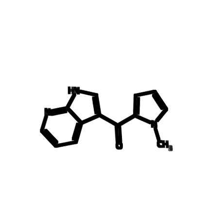 Cn1cccc1C(=O)c1c[nH]c2ncccc12